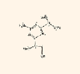 CON(CO)c1nc(N)nc(N(OC)OC)n1